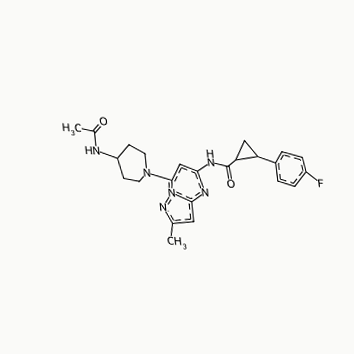 CC(=O)NC1CCN(c2cc(NC(=O)C3CC3c3ccc(F)cc3)nc3cc(C)nn23)CC1